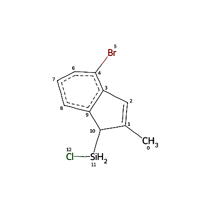 CC1=Cc2c(Br)cccc2C1[SiH2]Cl